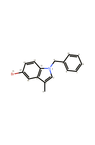 Cc1cn(Cc2ccccc2)c2ccc(Br)cc12